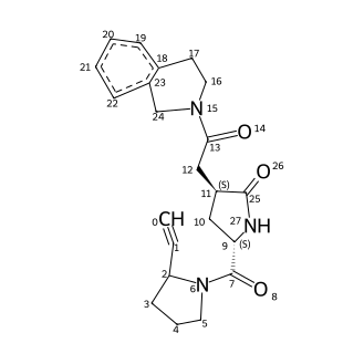 C#CC1CCCN1C(=O)[C@@H]1C[C@@H](CC(=O)N2CCc3ccccc3C2)C(=O)N1